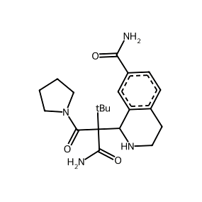 CC(C)(C)C(C(N)=O)(C(=O)N1CCCC1)C1NCCc2ccc(C(N)=O)cc21